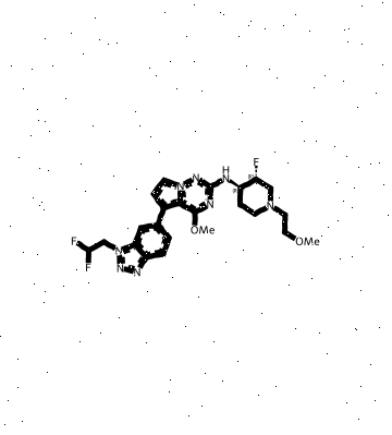 COCCN1CC[C@@H](Nc2nc(OC)c3c(-c4ccc5nnn(CC(F)F)c5c4)ccn3n2)[C@H](F)C1